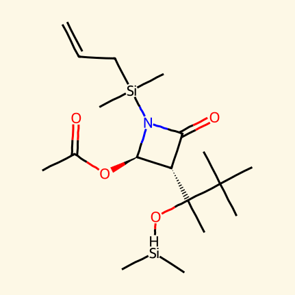 C=CC[Si](C)(C)N1C(=O)[C@H](C(C)(O[SiH](C)C)C(C)(C)C)[C@H]1OC(C)=O